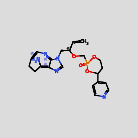 C=C[C@H](Cn1cnc2/c1=N\C=C/CC/C=2N)OCP1(=O)OCCC(c2ccncc2)O1